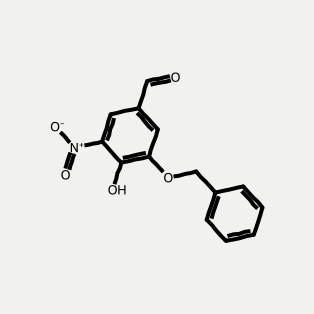 O=Cc1cc(OCc2ccccc2)c(O)c([N+](=O)[O-])c1